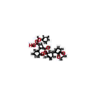 COc1ccccc1[C@H]1[C@H](C(=O)O)[C@H](c2ccccc2OC)[C@H]1C(=O)Oc1cccc(-c2cccc3c2OCCO3)c1